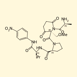 COC[C@]1(C(=O)N2CCC[C@H]2C(=O)N[C@H](C(=O)Nc2ccc([N+](=O)[O-])cc2)C(C)C)C(=O)CCC(=O)N1C(=O)[C@H](C)N